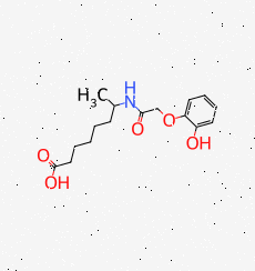 CC(CCCCCC(=O)O)NC(=O)COc1ccccc1O